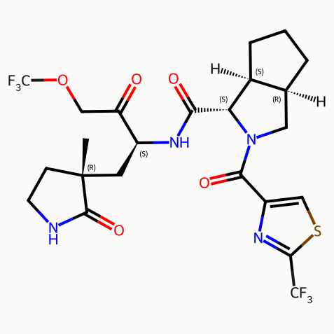 C[C@]1(C[C@H](NC(=O)[C@@H]2[C@H]3CCC[C@H]3CN2C(=O)c2csc(C(F)(F)F)n2)C(=O)COC(F)(F)F)CCNC1=O